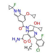 CCOc1c(CC(N)=O)cc([C@@](O)(CNC(=O)c2cc(OC3CC3)c3nn(C4(F)CC4)cc3c2)C2CC2)nc1-c1cc(Cl)ccc1F